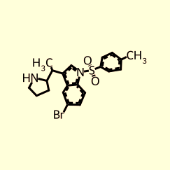 Cc1ccc(S(=O)(=O)n2cc(C(C)C3CCCN3)c3cc(Br)ccc32)cc1